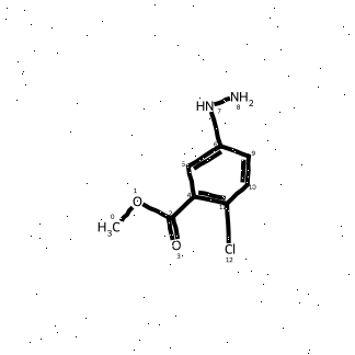 COC(=O)c1cc(NN)ccc1Cl